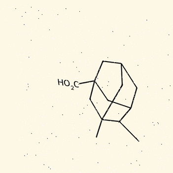 CC1C2CC3CC(C(=O)O)(C2)CC1(C)C3